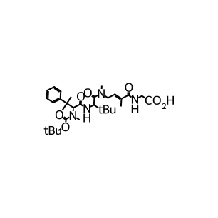 C/C(=C\CN(C)C(=O)C(NC(=O)[C@@H](N(C)C(=O)OC(C)(C)C)C(C)(C)c1ccccc1)C(C)(C)C)C(=O)NCC(=O)O